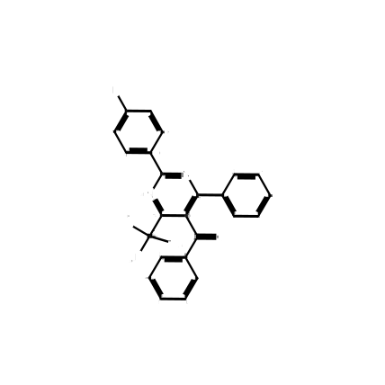 O=C(c1ccccc1)c1c(-c2ccccc2)nc(-c2ccc(F)cc2)nc1C(F)(F)F